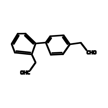 O=CCc1ccc(-c2ccccc2CC=O)cc1